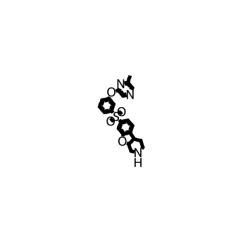 Cc1cncc(Oc2cccc(S(=O)(=O)c3ccc4c(c3)OC3CNCCC43)c2)n1